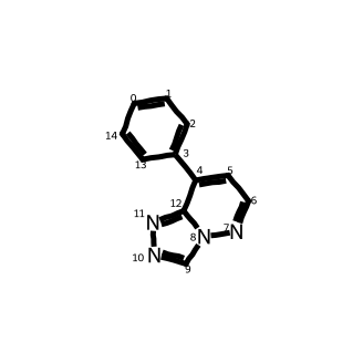 c1ccc(-c2ccnn3cnnc23)cc1